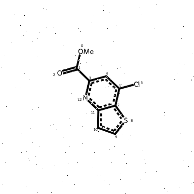 COC(=O)c1cc(Cl)c2sccc2n1